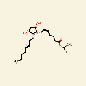 CCCC/C=C/CC[C@@H]1[C@@H](C/C=C\CCCC(=O)OC(C)C)[C@@H](O)C[C@H]1O